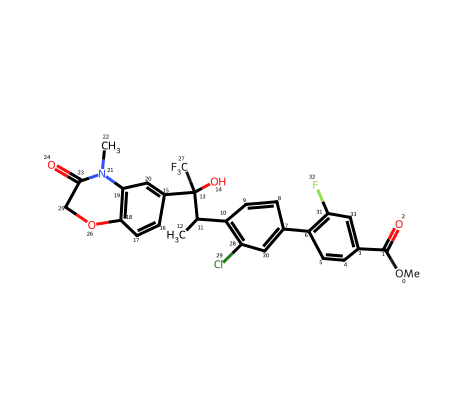 COC(=O)c1ccc(-c2ccc(C(C)C(O)(c3ccc4c(c3)N(C)C(=O)CO4)C(F)(F)F)c(Cl)c2)c(F)c1